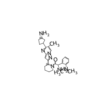 Cc1cn2nc([C@@H]3CCCCN3C(=O)C(N)c3ccccc3N(C)C)cc2nc1C1CC[C@H](N)C1